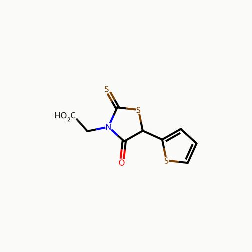 O=C(O)CN1C(=O)C(c2cccs2)SC1=S